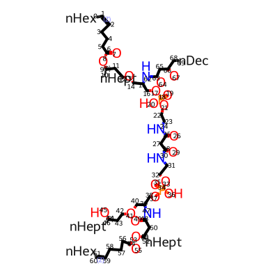 CCCCCC/C=C\CCCC(=O)O[C@H](CCCCCCC)CCOCC(COP(=O)(O)OCCNC(=O)CC(=O)NCCOP(=O)(O)OCC(COCC[C@H](O)CCCCCCC)NC(=O)C[C@@H](CCCCCCC)OC(=O)CCC/C=C\CCCCCC)NC(=O)CC(=O)CCCCCCCCCCC